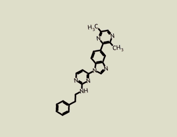 Cc1cnc(C)c(-c2ccc3c(c2)ncn3-c2ccnc(NCCc3ccccc3)n2)n1